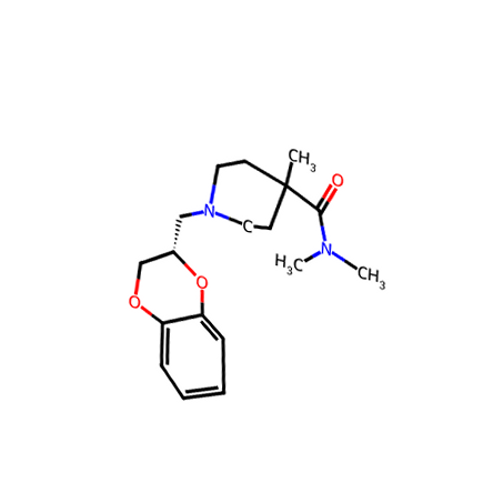 CN(C)C(=O)C1(C)CCN(C[C@H]2COc3ccccc3O2)CC1